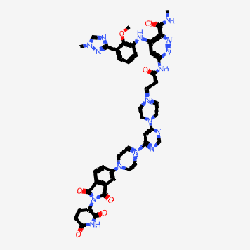 CNC(=O)c1nnc(NC(=O)CCN2CCN(c3cc(N4CCN(c5ccc6c(c5)C(=O)N(C5CCC(=O)NC5=O)C6=O)CC4)ncn3)CC2)cc1Nc1cccc(-c2ncn(C)n2)c1OC